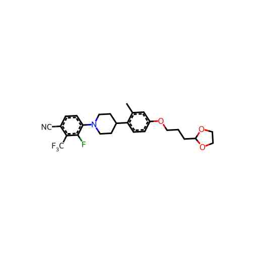 Cc1cc(OCCCC2OCCO2)ccc1C1CCN(c2ccc(C#N)c(C(F)(F)F)c2F)CC1